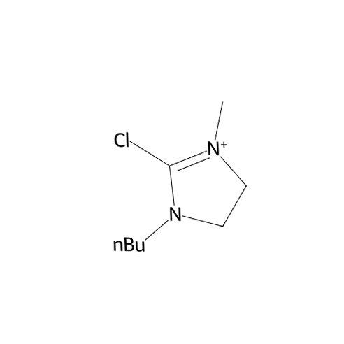 CCCCN1CC[N+](C)=C1Cl